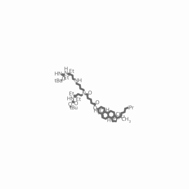 CCC(CC)(CCNCCCCN(CCC(CC)(CC)NC(=O)OC(C)(C)C)C(=O)CCCC(=O)O[C@H]1CC[C@@]2(C)C(=CC[C@H]3[C@@H]4CC[C@H]([C@H](C)CCCC(C)C)[C@@]4(C)CC[C@@H]32)C1)NC(=N)OC(C)(C)C